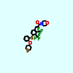 O=C(/C=C/c1ccc(Sc2ccccc2OC2CCSCC2)c(C(F)(F)F)c1C(F)(F)F)N1CCOCC1